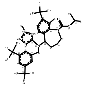 Cc1c(C(F)(F)F)ccc2c1N(C(=O)OC(C)C)CCCC2N(Cc1cc(C(F)(F)F)cc(C(F)(F)F)c1)c1nnn(C)n1